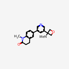 CNC1(c2cncc(-c3ccc4c(c3)CCC(=O)N4C)c2)COC1